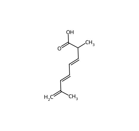 C=C(C)C=CC=CC(C)C(=O)O